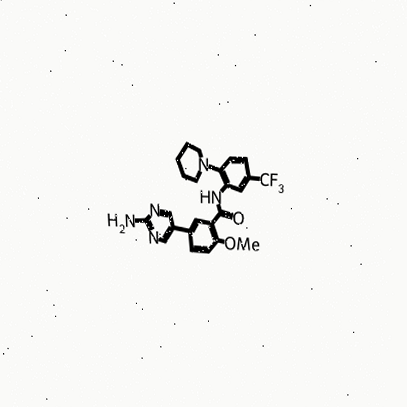 COc1ccc(-c2cnc(N)nc2)cc1C(=O)Nc1cc(C(F)(F)F)ccc1N1CCCCC1